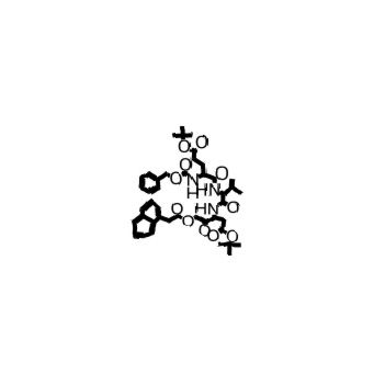 CC(C)C(NC(=O)C(CCC(=O)OC(C)(C)C)NC(=O)OCc1ccccc1)C(=O)NC(CC(=O)OC(C)(C)C)C(=O)COC(=O)Cc1cccc2ccccc12